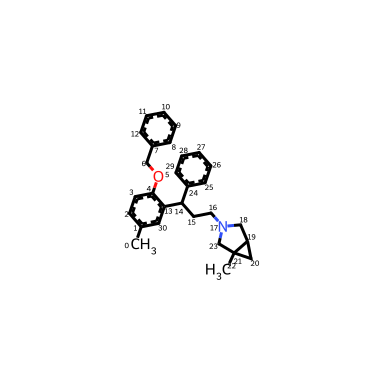 Cc1ccc(OCc2ccccc2)c(C(CCN2CC3CC3(C)C2)c2ccccc2)c1